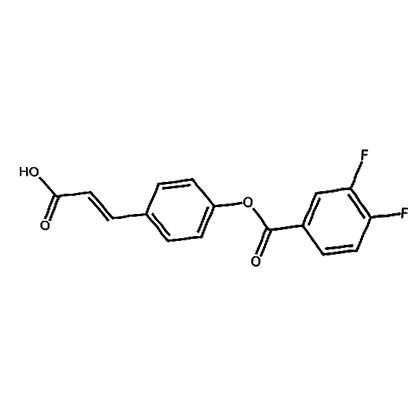 O=C(O)C=Cc1ccc(OC(=O)c2ccc(F)c(F)c2)cc1